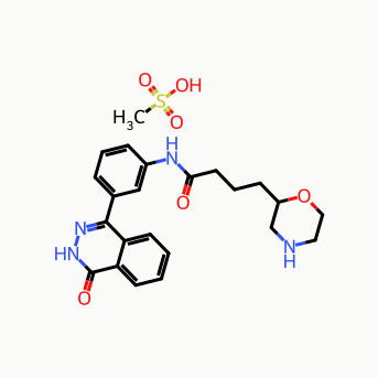 CS(=O)(=O)O.O=C(CCCC1CNCCO1)Nc1cccc(-c2n[nH]c(=O)c3ccccc23)c1